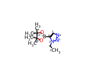 CCn1nncc1B1OC(C)(C)C(C)(C)O1